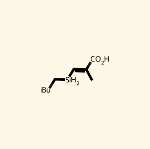 CCC(C)C[SiH2]C=C(C)C(=O)O